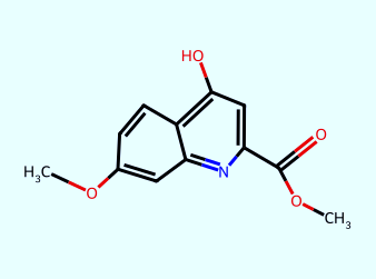 COC(=O)c1cc(O)c2ccc(OC)cc2n1